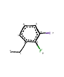 CCc1cccc(I)c1F